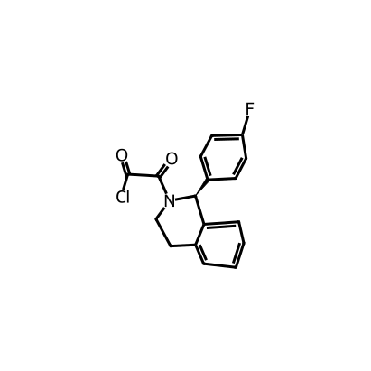 O=C(Cl)C(=O)N1CCc2ccccc2[C@@H]1c1ccc(F)cc1